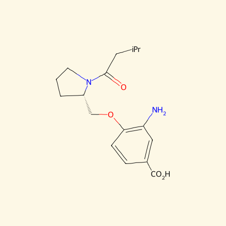 CC(C)CC(=O)N1CCC[C@H]1COc1ccc(C(=O)O)cc1N